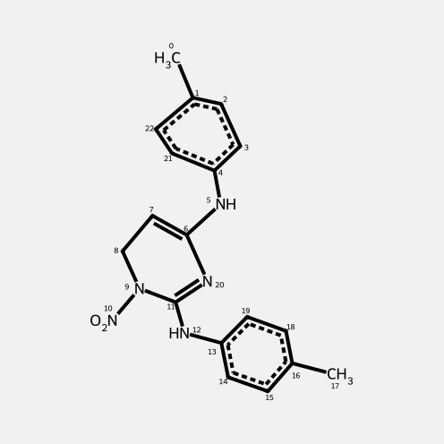 Cc1ccc(NC2=CCN([N+](=O)[O-])C(Nc3ccc(C)cc3)=N2)cc1